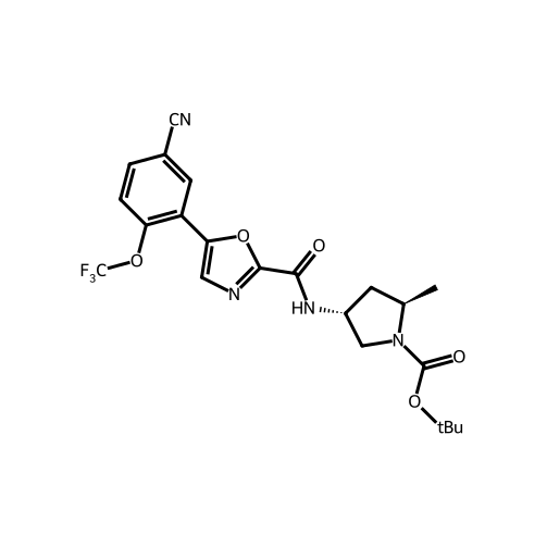 C[C@@H]1C[C@@H](NC(=O)c2ncc(-c3cc(C#N)ccc3OC(F)(F)F)o2)CN1C(=O)OC(C)(C)C